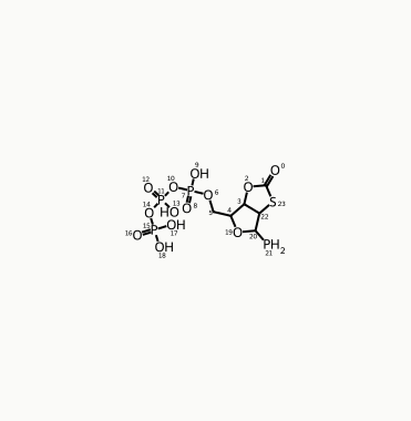 O=C1OC2C(COP(=O)(O)OP(=O)(O)OP(=O)(O)O)OC(P)C2S1